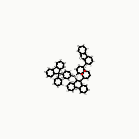 c1ccc(-c2c(N(c3ccc(-c4cccc5c4oc4ccccc45)cc3)c3ccc(C4(c5ccccc5)c5ccccc5-c5ccccc54)cc3)c3ccccc3c3ccccc23)cc1